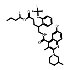 CCCC(F)OC(=O)CCC(CNC(=O)c1c(C)c(N2CCCC(C)C2)nc2ccc(Br)cc12)c1ccccc1OC(F)(F)F